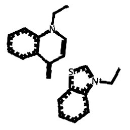 C=C1C=CN(CC)c2ccccc21.CC[n+]1csc2ccccc21